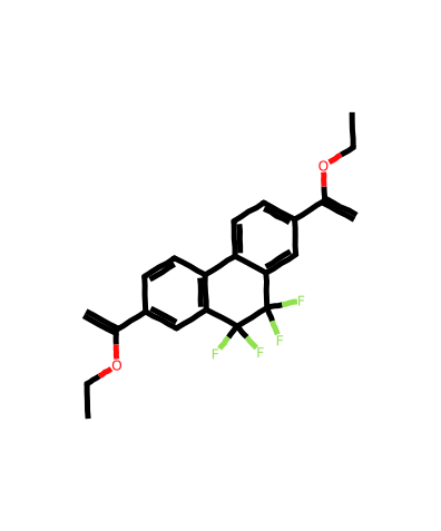 C=C(OCC)c1ccc2c(c1)C(F)(F)C(F)(F)c1cc(C(=C)OCC)ccc1-2